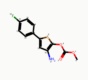 COC(=O)Oc1sc(-c2ccc(F)cc2)cc1N